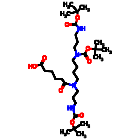 CC(C)(C)OC(=O)NCCCN(CCCCN(CCCNC(=O)OC(C)(C)C)C(=O)OC(C)(C)C)C(=O)CCCCC(=O)O